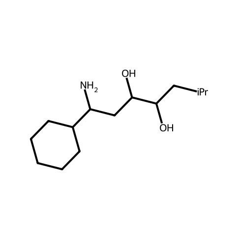 CC(C)CC(O)C(O)CC(N)C1CCCCC1